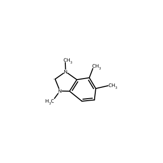 Cc1ccc2c(c1C)N(C)[CH]N2C